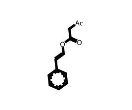 CC(=O)CC(=O)O/C=C/c1ccccc1